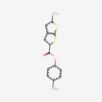 CCCCc1ccc(OC(=O)c2cc3cc(CCCC)sc3s2)cc1